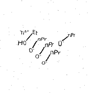 CCC[O-].CCC[O-].CCC[O-].CCC[O-].CCO.[Ti+4]